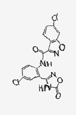 O=C(Nc1ccc(Cl)cc1-c1noc(=O)[nH]1)c1noc2cc(Cl)ccc12